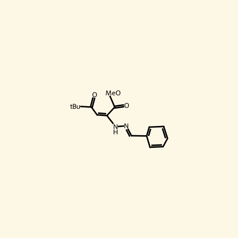 COC(=O)C(=CC(=O)C(C)(C)C)NN=Cc1ccccc1